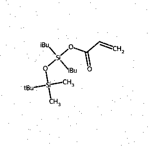 C=CC(=O)O[Si](O[Si](C)(C)C(C)(C)C)(C(C)CC)C(C)CC